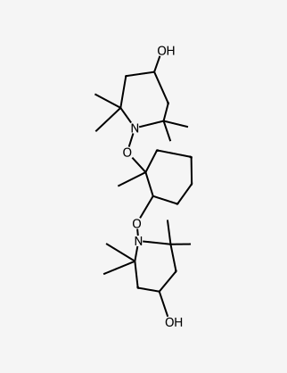 CC1(ON2C(C)(C)CC(O)CC2(C)C)CCCCC1ON1C(C)(C)CC(O)CC1(C)C